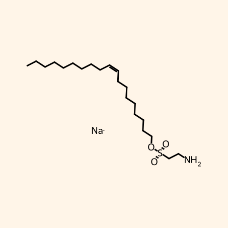 CCCCCCCCC/C=C\CCCCCCCCOS(=O)(=O)CCN.[Na]